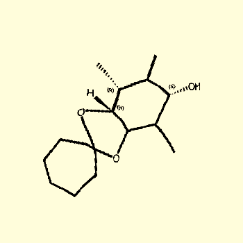 CC1C2OC3(CCCCC3)O[C@@H]2[C@H](C)C(C)[C@@H]1O